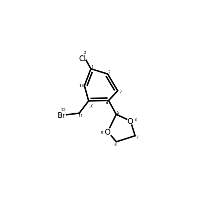 Clc1ccc(C2OCCO2)c(CBr)c1